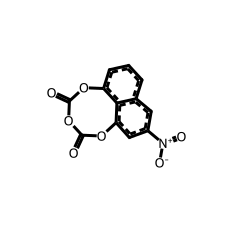 O=C1OC(=O)Oc2cc([N+](=O)[O-])cc3cccc(c23)O1